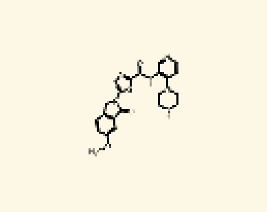 COc1ccc2c(c1)C(=O)N(c1nnc(C(=O)Nc3cnccc3N3CCNCC3)s1)C2